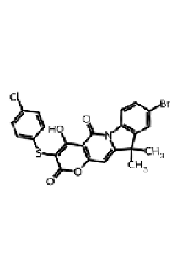 CC1(C)c2cc(Br)ccc2-n2c1cc1oc(=O)c(Sc3ccc(Cl)cc3)c(O)c1c2=O